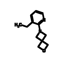 CCc1cccnc1N1CC2(COC2)C1